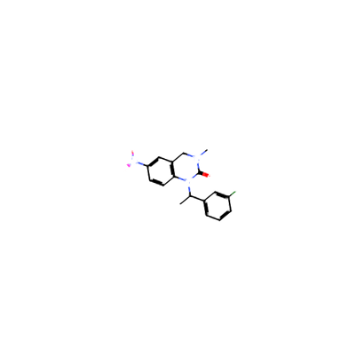 CC(c1cccc(Cl)c1)N1C(=O)N(C)Cc2cc([N+](=O)[O-])ccc21